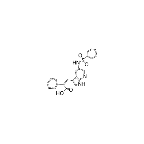 O=C(O)/C(=C\c1c[nH]c2ncc(NS(=O)(=O)c3ccccc3)cc12)c1ccccc1